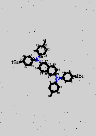 Cc1ccc(N(c2ccc(C(C)(C)C)cc2)c2ccc3cc(N(c4ccc(C)cc4)c4ccc(C(C)(C)C)cc4)ccc3c2)cc1